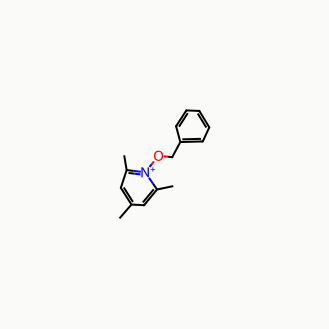 Cc1cc(C)[n+](OCc2ccccc2)c(C)c1